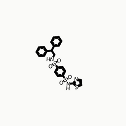 O=S(=O)(NCC(c1ccccc1)c1ccccc1)c1ccc(S(=O)(=O)Nc2nccs2)cc1